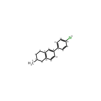 CC1CCc2cc(-c3ccc(Br)cc3)ccc2C1